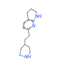 c1cc2c(nc1CCC1CCNCC1)NCCC2